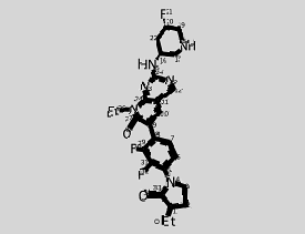 CCC1CCN(c2ccc(-c3cc4cnc(N[C@@H]5CNC[C@@H](F)C5)nc4n(CC)c3=O)c(F)c2F)C1=O